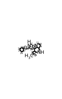 Cc1cc2c(s1)NC=c1cccnc1=C2N1CCNC(COc2ccccc2)C1